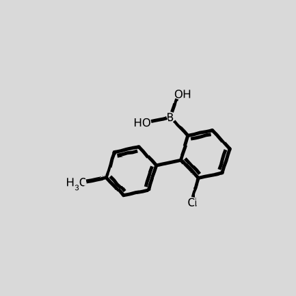 Cc1ccc(-c2c(Cl)cccc2B(O)O)cc1